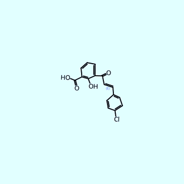 O=C(O)c1cccc(C(=O)/C=C/c2ccc(Cl)cc2)c1O